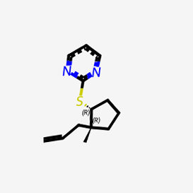 C=CC[C@@]1(C)CCC[C@H]1Sc1ncccn1